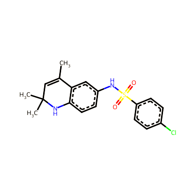 CC1=CC(C)(C)Nc2ccc(NS(=O)(=O)c3ccc(Cl)cc3)cc21